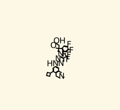 CN1CCc2c(cc(Nc3ncc(C(F)(F)F)c(N4CC(C)(CC(=O)O)c5cc(F)c(F)cc54)n3)cc2C2CCC2)C1